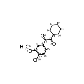 COc1cc(C(=O)C(=O)C2CCCCC2)ccc1Cl